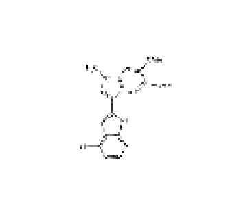 COc1cc2c(-c3cc4c(Cl)ccnc4[nH]3)cn(C)c2cc1OC